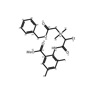 CCC(C(=O)Nc1c(C)cc(C)cc1C(=O)OC)[N+](C)(C)CC(=O)OCc1ccccc1